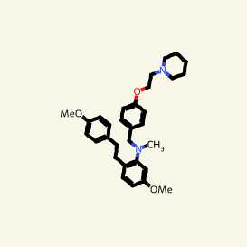 COc1ccc(CCc2ccc(OC)cc2N(C)Cc2ccc(OCCN3CCCCC3)cc2)cc1